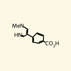 CN/C=C(\C=N)c1ccc(C(=O)O)cc1